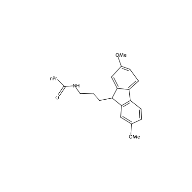 CCCC(=O)NCCCC1c2cc(OC)ccc2-c2ccc(OC)cc21